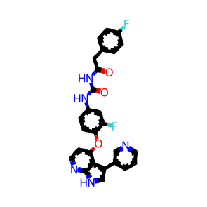 O=C(Cc1ccc(F)cc1)NC(=O)Nc1ccc(Oc2ccnc3[nH]cc(-c4cccnc4)c23)c(F)c1